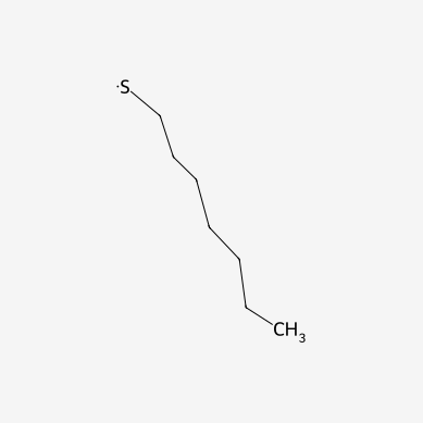 CCCCCCC[S]